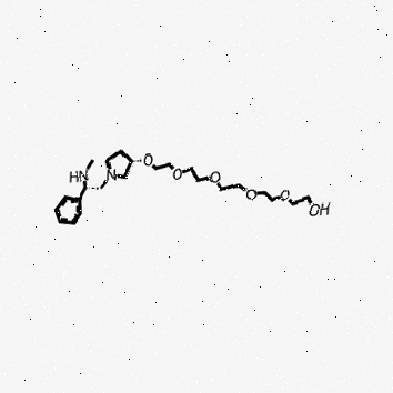 CN[C@H](CN1CC[C@H](OCCOCCOCCOCCOCCO)C1)c1ccccc1